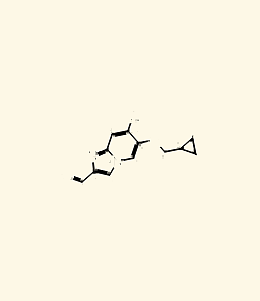 O=Cc1cn2cc(OCC3CC3)c(Cl)cc2n1